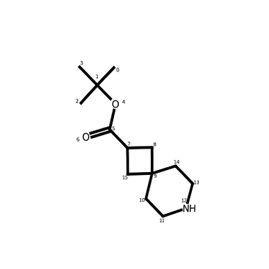 CC(C)(C)OC(=O)C1CC2(CCNCC2)C1